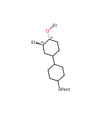 CCCCCC1CCC(C2CC[C@@H](OCC)[C@H](CC)C2)CC1